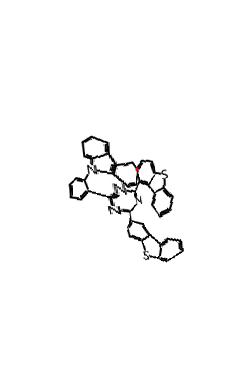 C1=Cc2c(c3ccccc3n2-c2ccccc2-c2nc(-c3ccc4sc5ccccc5c4c3)nc(-c3cccc4sc5ccccc5c34)n2)CC1